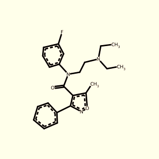 CCN(CC)CCN(C(=O)c1c(-c2ccccc2)noc1C)c1cccc(F)c1